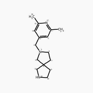 Cc1cc(CN2CCC3(CCNC3)C2)cc(C)n1